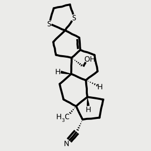 C[C@]12CC[C@H]3[C@@H](CCC4=CC5(CC[C@@]43CO)SCCS5)[C@@H]1CC[C@@H]2C#N